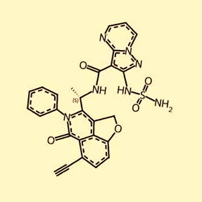 C#Cc1ccc2c3c(c([C@H](C)NC(=O)c4c(NS(N)(=O)=O)nn5cccnc45)n(-c4ccccc4)c(=O)c13)CO2